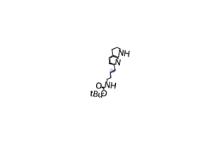 CC(C)(C)OC(=O)NCC/C=C/c1ccc2c(n1)NCCC2